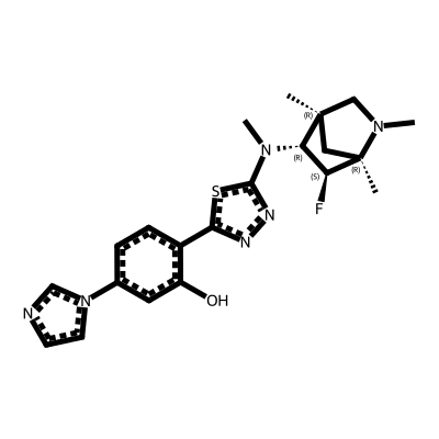 CN(c1nnc(-c2ccc(-n3ccnc3)cc2O)s1)[C@H]1[C@H](F)[C@@]2(C)C[C@]1(C)CN2C